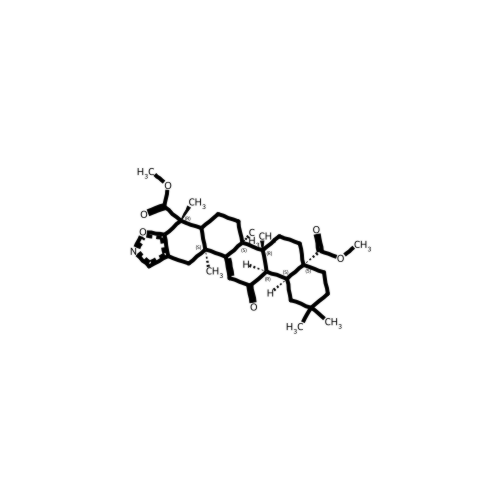 COC(=O)[C@]12CCC(C)(C)C[C@H]1[C@H]1C(=O)C=C3[C@@]4(C)Cc5cnoc5[C@](C)(C(=O)OC)C4CC[C@@]3(C)[C@]1(C)CC2